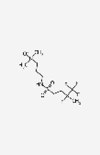 CC(F)(CCS(=O)(=O)NCCC[N+](C)(C)[O-])C(F)(F)F